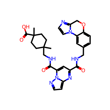 CC1(CNC(=O)c2cc(C(=O)NCc3ccc4c(c3)-n3ccnc3CO4)nc3ccnn23)CCC(C)(C(=O)O)CC1